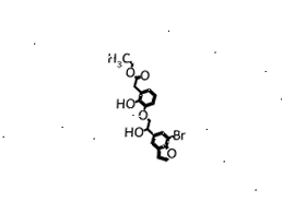 CCOC(=O)Cc1cccc(OCC(O)c2cc(Br)c3occc3c2)c1O